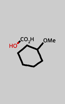 COC1CCCCC1.O=C(O)O